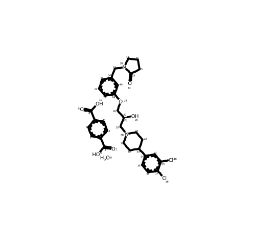 O.O=C(O)c1ccc(C(=O)O)cc1.O=C1CCCN1Cc1cccc(OC[C@@H](O)CN2CCC(c3ccc(Cl)c(Cl)c3)CC2)c1